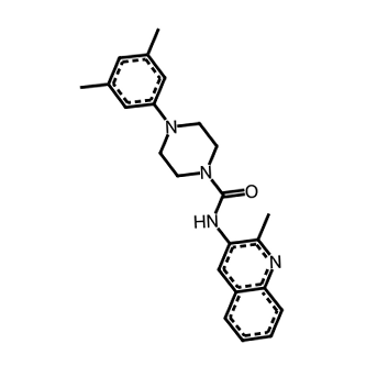 Cc1cc(C)cc(N2CCN(C(=O)Nc3cc4ccccc4nc3C)CC2)c1